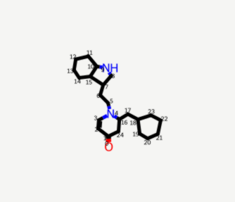 O=C1C=CN(CCC2CNC3CCCCC23)C(CC2CCCCC2)C1